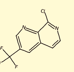 FC(F)(F)c1cnc2c(Cl)nccc2c1